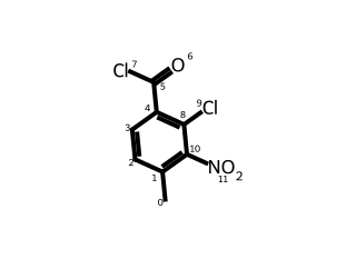 Cc1ccc(C(=O)Cl)c(Cl)c1[N+](=O)[O-]